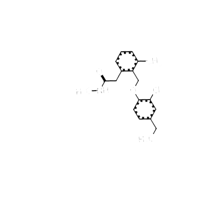 CCc1ccc(OCc2c(C)cccc2CC(=O)NC)c(Cl)c1